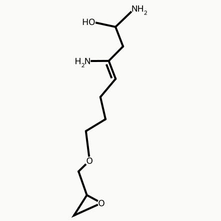 NC(=CCCCOCC1CO1)CC(N)O